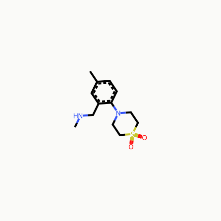 CNCc1cc(C)ccc1N1CCS(=O)(=O)CC1